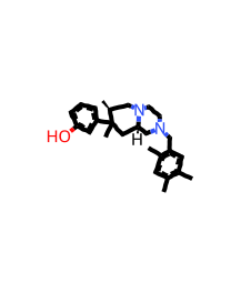 Cc1cc(C)c(CN2CCN3C[C@H](C)C(C)(c4cccc(O)c4)C[C@@H]3C2)cc1C